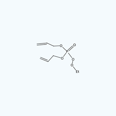 C=CCOP(=O)(OCC=C)OOCC